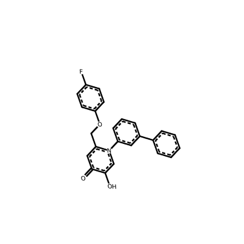 O=c1cc(COc2ccc(F)cc2)n(-c2cccc(-c3ccccc3)c2)cc1O